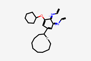 C=C/N=C1/C=C(C2CCCCCCCCC2)C=C(OC2CCCCC2)/C1=N/C=C